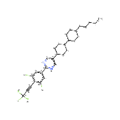 CCCCCC1CCC(C2CCC(c3cnc(-c4cc(F)c(C#CC(F)(F)F)c(F)c4)nc3)CC2)CC1